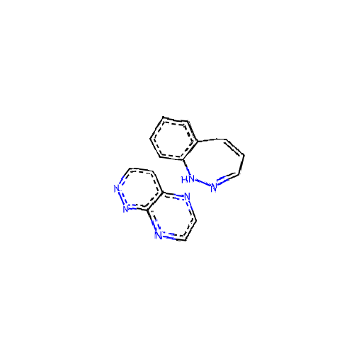 C1=Cc2ccccc2NN=C1.c1cc2nccnc2nn1